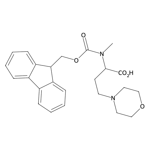 CN(C(=O)OCC1c2ccccc2-c2ccccc21)C(CCN1CCOCC1)C(=O)O